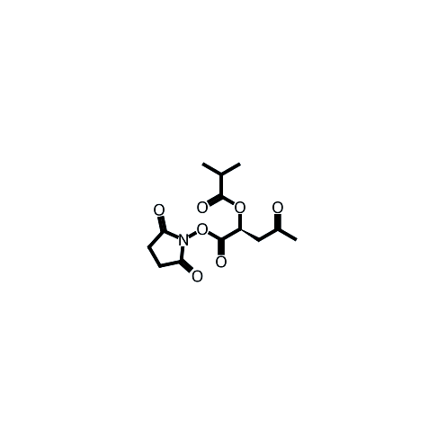 CC(=O)C[C@H](OC(=O)C(C)C)C(=O)ON1C(=O)CCC1=O